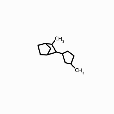 CC1CCC(C2C3CCC(C3)C2C)C1